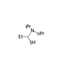 CCCN(C(C)C)C(S)CC